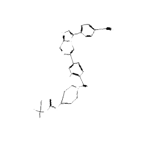 CC(C)(C)OC(=O)NC1CCN(C(=O)c2ccc(-c3cn4c(-c5ccc(C#N)cc5)cnc4cn3)cc2F)CC1